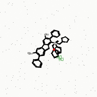 Cl.Cl.[CH2]=[Zr]([CH2]C1CCCC1)([CH2]C1CCCC1)([C]1=CC=CC1)[c]1c2c(cc(C(C)(C)C)c1-c1ccccc1)-c1cc(C(C)(C)C)c(-c3ccccc3)cc1C2